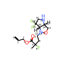 C=CCOC(=O)C(C)(F)CCN1OC[C@H]2NCC(F)(F)[C@H]21